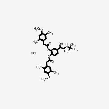 COc1cc(C)c(CC(=O)Oc2ccc(C(O)CNC(C)(C)C)cc2OC(=O)Cc2cc(C)c(OC)cc2C)cc1C.Cl